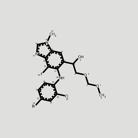 COCOCC(O)c1cc2c(ncn2C)c(F)c1Nc1ccc(Br)cc1Cl